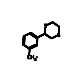 [CH2]c1cccc(C2CSCCS2)c1